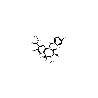 CCCCNC(=O)c1cc2c(cc1F)S(=O)(=O)C[C@H](N)C(=O)N2Cc1ccc(F)cc1.Cl